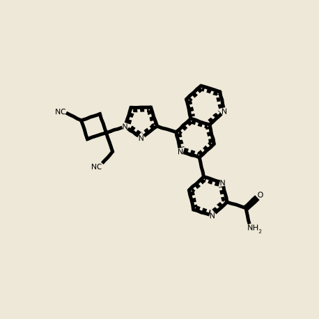 N#CCC1(n2ccc(-c3nc(-c4ccnc(C(N)=O)n4)cc4ncccc34)n2)CC(C#N)C1